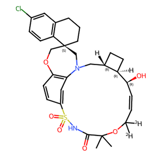 [2H]C1([2H])C=C[C@H](O)[C@@H]2CC[C@H]2CN2C[C@@]3(CCCc4cc(Cl)ccc43)COc3ccc(cc32)S(=O)(=O)NC(=O)C(C)(C)O1